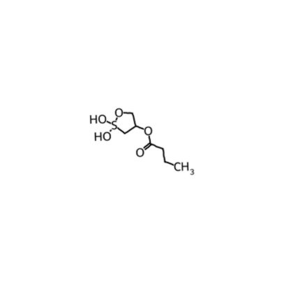 CCCC(=O)OC1COS(O)(O)C1